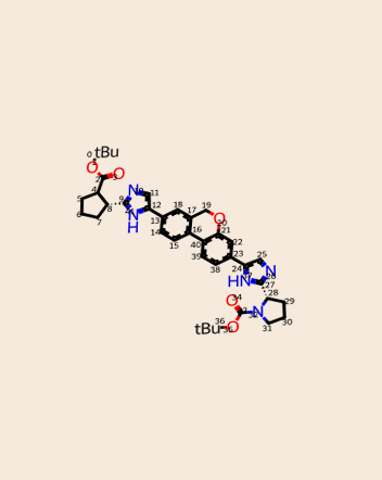 CC(C)(C)OC(=O)C1CCC[C@H]1c1ncc(-c2ccc3c(c2)COc2cc(-c4cnc([C@@H]5CCCN5C(=O)OC(C)(C)C)[nH]4)ccc2-3)[nH]1